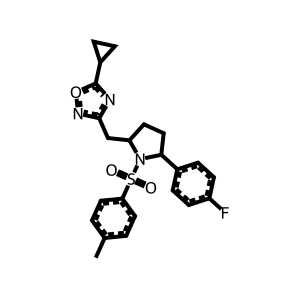 Cc1ccc(S(=O)(=O)N2C(Cc3noc(C4CC4)n3)CCC2c2ccc(F)cc2)cc1